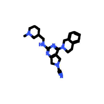 CN1CCCC(CNc2nc3c(c(N4CCc5ccccc5C4)n2)CN(C#N)C3)C1